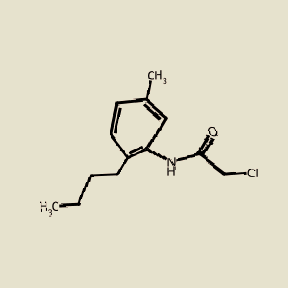 CCCCc1ccc(C)cc1NC(=O)CCl